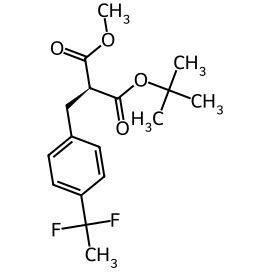 COC(=O)[C@H](Cc1ccc(C(C)(F)F)cc1)C(=O)OC(C)(C)C